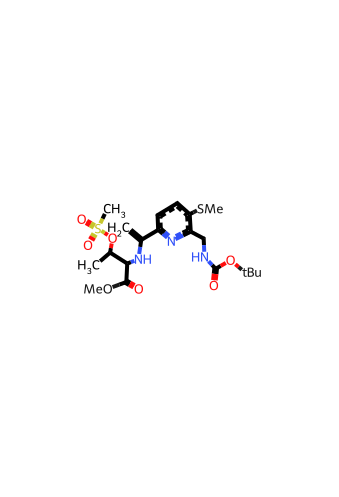 C=C(NC(C(=O)OC)C(C)OS(C)(=O)=O)c1ccc(SC)c(CNC(=O)OC(C)(C)C)n1